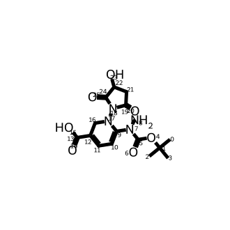 CC(C)(C)OC(=O)N(N)C1=CC=C(C(=O)O)CN1N1C(=O)CC(O)C1=O